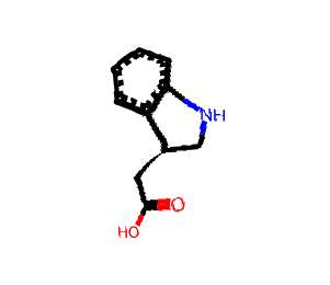 O=C(O)C[C@@H]1CNc2ccccc21